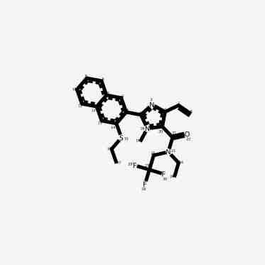 C=Cc1nc(-c2cc3ccccc3cc2SCC)n(C)c1C(=O)N(CC)CC(F)(F)F